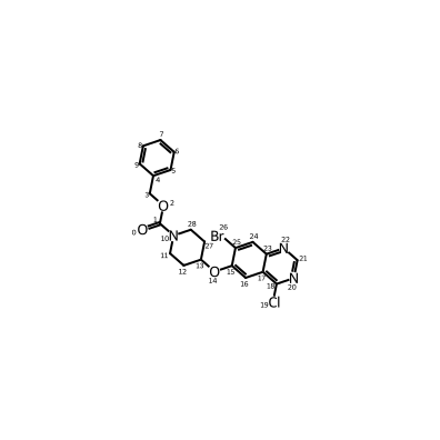 O=C(OCc1ccccc1)N1CCC(Oc2cc3c(Cl)ncnc3cc2Br)CC1